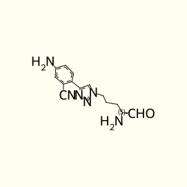 N#Cc1cc(N)ccc1-c1cn(CCC[C@H](N)C=O)nn1